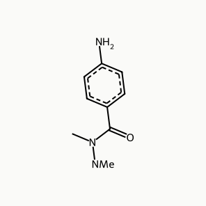 CNN(C)C(=O)c1ccc(N)cc1